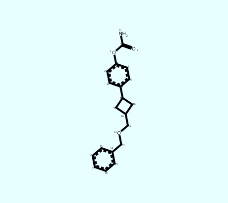 NC(=O)Oc1ccc(C2CC(COCc3ccccc3)C2)cc1